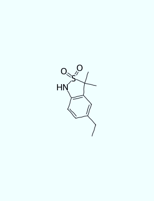 CCc1ccc2c(c1)C(C)(C)S(=O)(=O)N2